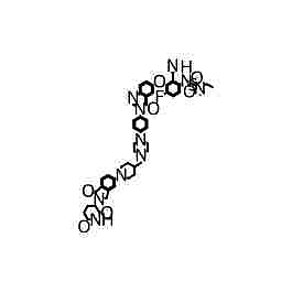 CCN(C)S(=O)(=O)Nc1ccc(F)c(Oc2ccc3ncn(-c4ccc(N5CCN(CC6CCN(c7ccc8c(c7)CN(C7CCC(=O)NC7=O)C8=O)CC6)CC5)cc4)c(=O)c3c2)c1C#N